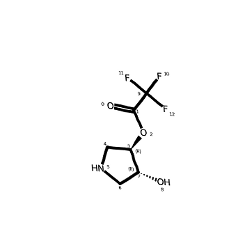 O=C(O[C@@H]1CNC[C@H]1O)C(F)(F)F